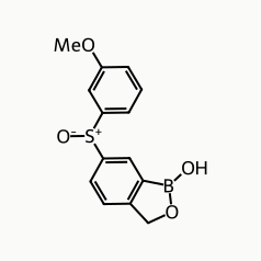 COc1cccc([S+]([O-])c2ccc3c(c2)B(O)OC3)c1